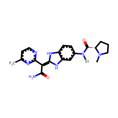 CCN(C(=O)[C@@H]1CCCN1C)c1ccc2c(c1)NC(=C(C(N)=O)c1nccc(C(F)(F)F)n1)N2